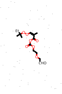 CCC(C)(C)OOC=C(C)C(=O)OC(=O)OCCOCC=O